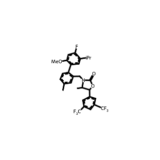 COc1cc(F)c(C(C)C)cc1-c1ccc(C)cc1CN1C(=O)OC(c2cc(C(F)(F)F)cc(C(F)(F)F)c2)C1C